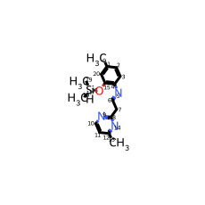 Cc1ccc(N=CCc2nccc(C)n2)c(O[SiH](C)C)c1